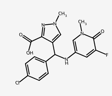 Cn1cc(C(Nc2cc(F)c(=O)n(C)c2)c2ccc(Cl)cc2)c(C(=O)O)n1